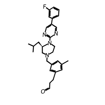 Cc1cc(CCC=O)cc(CN2CCN(c3ncc(-c4cccc(F)c4)cn3)[C@H](CC(C)C)C2)c1